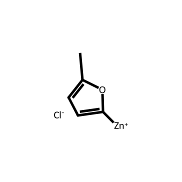 Cc1cc[c]([Zn+])o1.[Cl-]